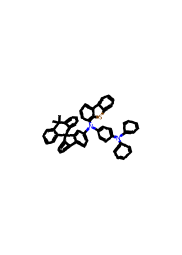 CC1(C)c2ccccc2C2(c3ccccc3-c3ccc(N(c4ccc(N(c5ccccc5)c5ccccc5)cc4)c4cccc5c4sc4ccccc45)cc32)c2ccccc21